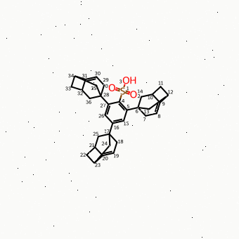 O=S(=O)(O)c1c(C23CC=C4C(CC4C2)C3)cc(C23CC=C4C(CC4C2)C3)cc1C12CC=C3C(CC3C1)C2